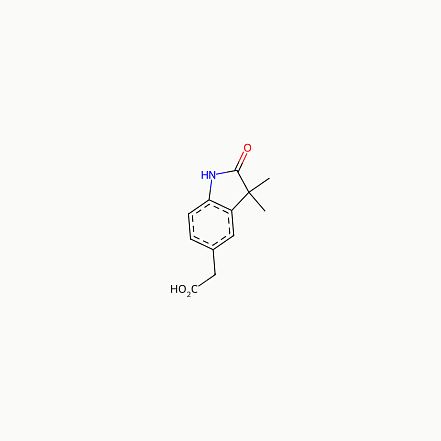 CC1(C)C(=O)Nc2ccc(CC(=O)O)cc21